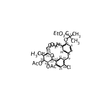 CCOC(=O)C(C)(C)Oc1ccc(Cc2cc([C@@H]3O[C@H](COC(C)=O)C(C)C(OC(C)=O)C3OC(C)=O)ccc2Cl)cc1[N+](=O)[O-]